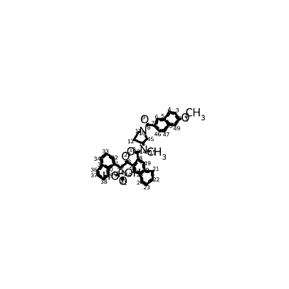 COc1ccc2cc(C(=O)N3CCC(N(C)C(=O)c4cc5ccccc5cc4C(=O)C(c4cccc5ccccc45)P(=O)(O)O)C3)ccc2c1